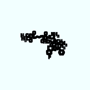 CC1(C)CC(=O)N(CCCCN2C(=O)CC(SCC(CN)CN(C(=O)CO)C(c3nc(-c4cc(F)ccc4F)cn3Cc3ccccc3)C(C)(C)C)C2=O)C1=O